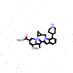 COC(=O)c1cc(OC)c2c(C)c(-c3cc4cccc(C5CCNCC5)c4n3CC3CC3)nn2c1